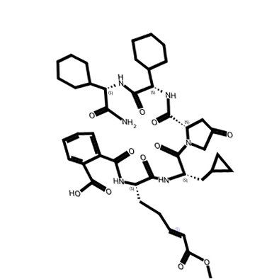 COC(=O)/C=C/CC[C@H](NC(=O)c1ccccc1C(=O)O)C(=O)N[C@@H](CC1CC1)C(=O)N1CC(=O)C[C@H]1C(=O)N[C@H](C(=O)N[C@H](C(N)=O)C1CCCCC1)C1CCCCC1